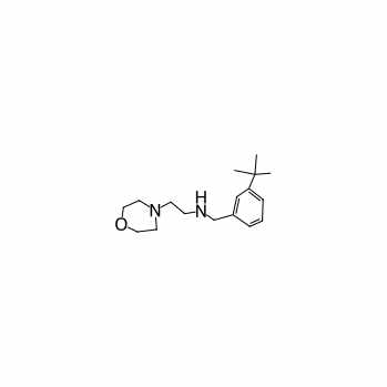 CC(C)(C)c1cccc(CNCCN2CCOCC2)c1